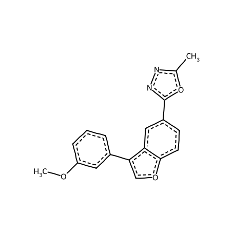 COc1cccc(-c2coc3ccc(-c4nnc(C)o4)cc23)c1